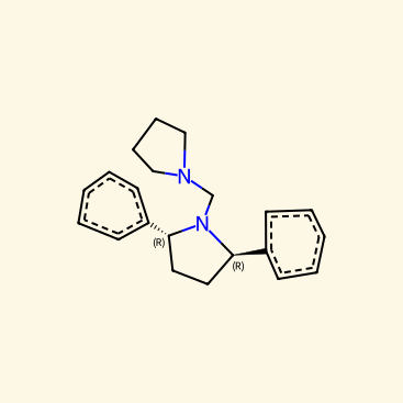 c1ccc([C@H]2CC[C@H](c3ccccc3)N2CN2CCCC2)cc1